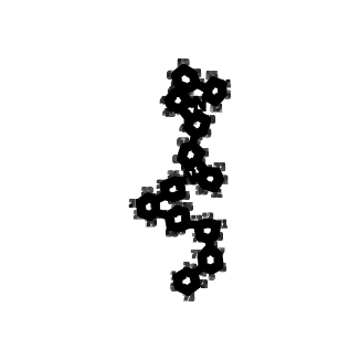 c1ccc(-c2cccc(-c3cccc(-c4ccc(-c5ccccc5-c5ccc(-n6c7ccccc7c7cc(-c8ccc9c(c8)c8ccccc8n9-c8ccccc8-c8ccccc8)ccc76)cc5)cc4)c3)c2)cc1